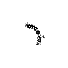 C[C@]1(COc2ccc(N3CCC(Cc4cc5cc(C(F)(F)F)ccc5o4)CC3)cc2)Cn2cc([N+](=O)[O-])nc2O1